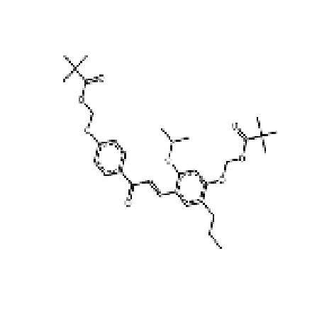 CCCc1cc(C=CC(=O)c2ccc(OCOC(=O)C(C)(C)C)cc2)c(OC(C)C)cc1OCOC(=O)C(C)(C)C